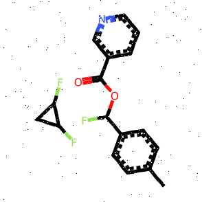 Cc1ccc(C(F)OC(=O)c2cccnc2)cc1.FC1CC1F